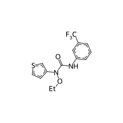 CCON(C(=O)Nc1cccc(C(F)(F)F)c1)c1ccsc1